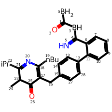 BC(=O)BC(=N)c1ccccc1-c1ccc(CC2=C(CCCC)N=C(C(C)C)C(C)C2=O)cc1